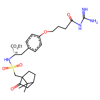 CCOC(=O)[C@H](Cc1ccc(OCCCC(=O)NC(=N)N)cc1)NS(=O)(=O)CC12CCC(CC1=O)C2(C)C